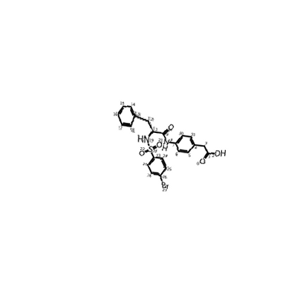 O=C(O)Cc1ccc(NC(=O)[C@H](Cc2ccccc2)NS(=O)(=O)c2ccc(Br)cc2)cc1